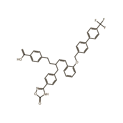 C=C(O)c1ccc(CCC(/C=C\c2ccccc2OCc2ccc(-c3ccc(C(F)(F)F)cc3)cc2)Cc2ccc(-c3noc(=O)[nH]3)cc2)cc1